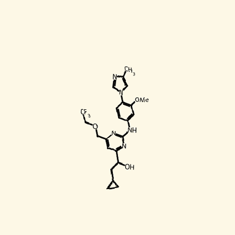 COc1cc(Nc2nc(COCC(F)(F)F)cc(C(O)CC3CC3)n2)ccc1-n1cnc(C)c1